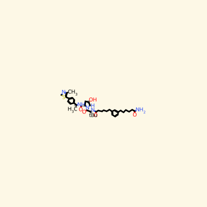 Cc1ncsc1-c1ccc([C@H](C)NC(=O)[C@@H]2C[C@@H](O)CN2C(=O)[C@@H](NC(=O)CCCCCc2cccc(CCCCCC(N)=O)c2)C(C)(C)C)cc1